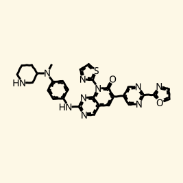 CN(c1ccc(Nc2ncc3cc(-c4cnc(-c5ncco5)nc4)c(=O)n(-c4nccs4)c3n2)cc1)C1CCCNC1